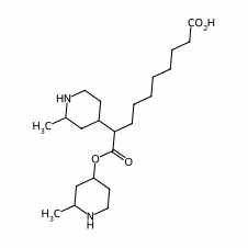 CC1CC(OC(=O)C(CCCCCCCC(=O)O)C2CCNC(C)C2)CCN1